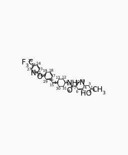 CC(O)Cc1ccc(C(=O)NC2CCC(=Cc3cccc(Oc4ccc(C(F)(F)F)cn4)c3)CC2)cn1